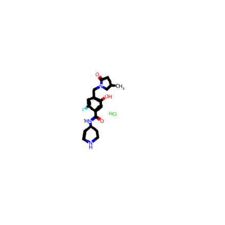 CC1CC(=O)N(Cc2cc(F)c(C(=O)NC3CCNCC3)cc2O)C1.Cl